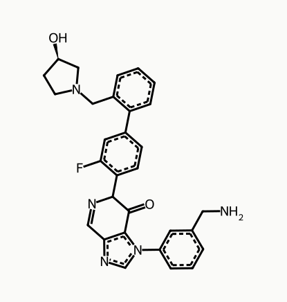 NCc1cccc(-n2cnc3c2C(=O)C(c2ccc(-c4ccccc4CN4CC[C@@H](O)C4)cc2F)N=C3)c1